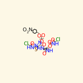 CC(C)(ON=C(C(=O)N[C@H]1C(=O)N[C@H]1COC(=O)NC(=O)CCl)c1csc(NC(=O)CCl)n1)C(=O)OCc1ccc([N+](=O)[O-])cc1